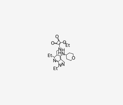 CCOc1c(NCC2C(NC3CCOCC3)=c3cnn(CC)c3=NC2CC)c(=O)c1=O